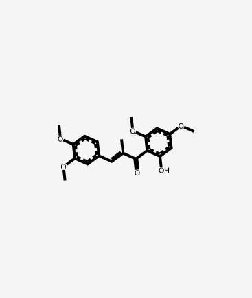 COc1cc(O)c(C(=O)/C(C)=C/c2ccc(OC)c(OC)c2)c(OC)c1